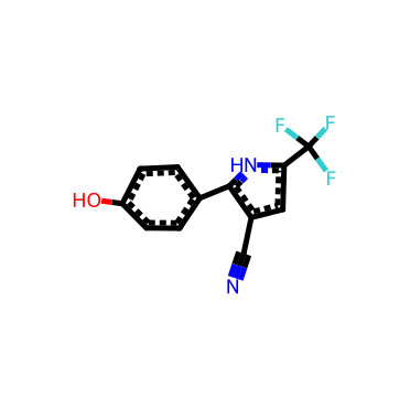 N#Cc1cc(C(F)(F)F)[nH]c1-c1ccc(O)cc1